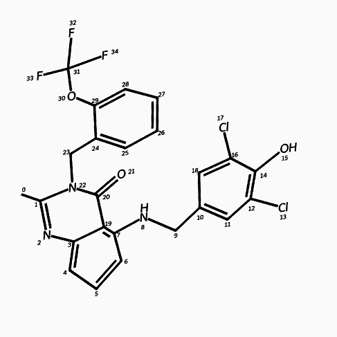 Cc1nc2cccc(NCc3cc(Cl)c(O)c(Cl)c3)c2c(=O)n1Cc1ccccc1OC(F)(F)F